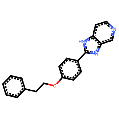 c1ccc(CCOc2ccc(-c3nc4cnccc4[nH]3)cc2)cc1